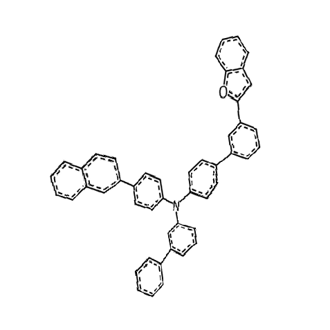 c1ccc(-c2cccc(N(c3ccc(-c4cccc(-c5cc6ccccc6o5)c4)cc3)c3ccc(-c4ccc5ccccc5c4)cc3)c2)cc1